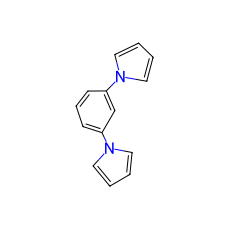 c1cc(-n2cccc2)cc(-n2cccc2)c1